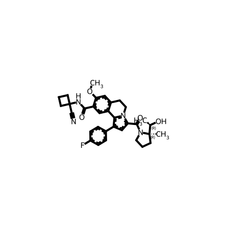 COc1cc2c(cc1C(=O)NC1(C#N)CCC1)-c1c(-c3ccc(F)cc3)cc(C(=O)N3CCC[C@]3(C)[C@@H](C)O)n1CC2